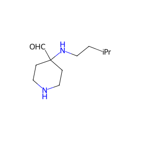 CC(C)CCNC1(C=O)CCNCC1